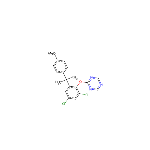 COc1ccc(C(C)(C)c2cc(Cl)cc(Cl)c2Oc2ncncn2)cc1